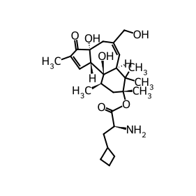 CC1=C[C@H]2[C@@]3(O)[C@H](C)C[C@@](C)(OC(=O)[C@@H](N)CC4CCC4)C(C)(C)[C@@H]3C=C(CO)C[C@]2(O)C1=O